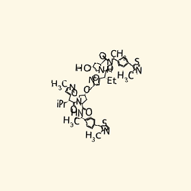 CC[C@@H](C(=O)N1C[C@H](O)C[C@H]1C(=O)N[C@@H](C)c1ccc(-c2scnc2C)cc1)c1cc(CO[C@@H]2C[C@@H](C(=O)N[C@@H](C)c3ccc(-c4scnc4C)cc3)N(C(=O)[C@@H](c3cc(C)no3)C(C)C)C2)no1